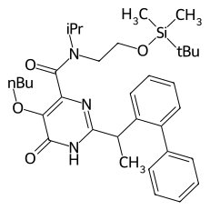 CCCCOc1c(C(=O)N(CCO[Si](C)(C)C(C)(C)C)C(C)C)nc(C(C)c2ccccc2-c2ccccc2)[nH]c1=O